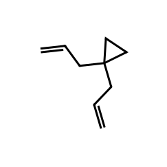 C=CCC1(CC=C)CC1